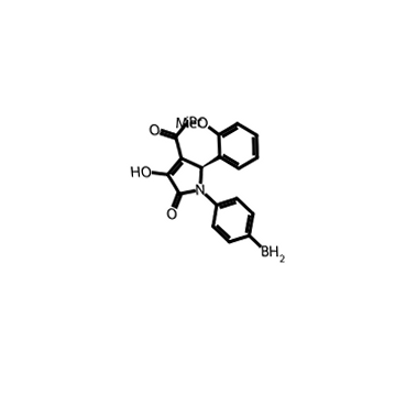 Bc1ccc(N2C(=O)C(O)=C(C(=O)C(C)C)[C@H]2c2ccccc2OC)cc1